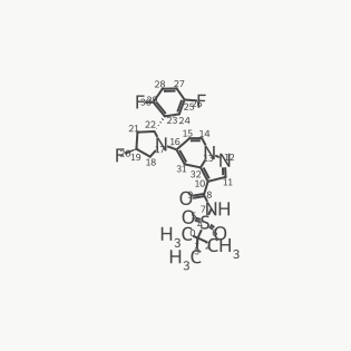 CC(C)(C)S(=O)(=O)NC(=O)c1cnn2ccc(N3C[C@@H](F)C[C@@H]3c3cc(F)ccc3F)cc12